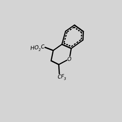 O=C(O)C1CC(C(F)(F)F)Oc2ccccc21